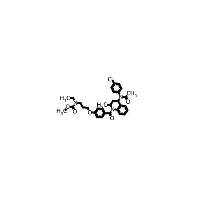 CCN(CCCOc1ccc(C(=O)N2c3ccccc3C(N(C(C)=O)c3ccc(Cl)cc3)CC2C)cc1)C(=O)OC